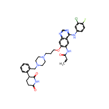 C=CC(=O)Nc1cc2c(Nc3ccc(F)c(Cl)c3)ncnc2cc1OCCCN1CCN(Cc2ccccc2C2CCC(=O)NC2=O)CC1